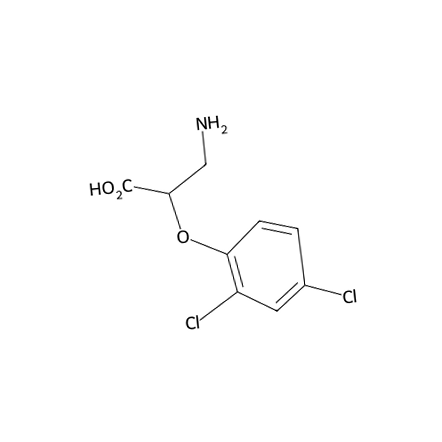 NCC(Oc1ccc(Cl)cc1Cl)C(=O)O